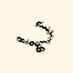 CC(C)C(NC(=O)CCCCCN1C(=O)C=CC1=O)C(=O)N[C@@H](C)C(=O)NCCCCn1nc(-c2ccc(NC(=O)N3Cc4ccncc4C3)cc2)cc(-c2cccc3ncccc23)c1=O